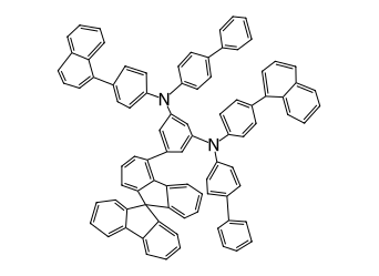 c1ccc(-c2ccc(N(c3ccc(-c4cccc5ccccc45)cc3)c3cc(-c4cccc5c4-c4ccccc4C54c5ccccc5-c5ccccc54)cc(N(c4ccc(-c5ccccc5)cc4)c4ccc(-c5cccc6ccccc56)cc4)c3)cc2)cc1